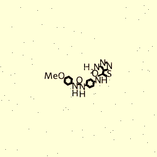 COc1ccc(NC(=O)Nc2ccc(NC(=O)c3csc4ncnc(N)c34)cc2)cc1